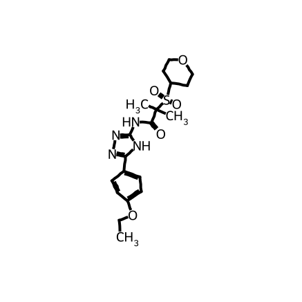 CCOc1ccc(-c2nnc(NC(=O)C(C)(C)S(=O)(=O)C3CCOCC3)[nH]2)cc1